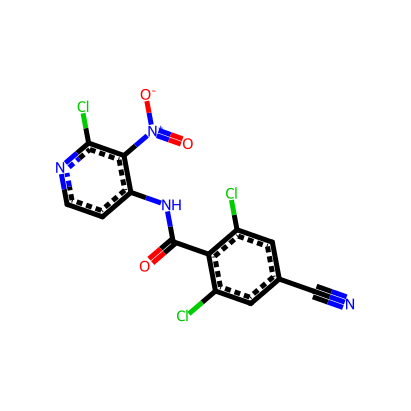 N#Cc1cc(Cl)c(C(=O)Nc2ccnc(Cl)c2[N+](=O)[O-])c(Cl)c1